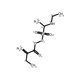 C=C(CC)C(=O)OOS(=O)(=O)C(C)NCC